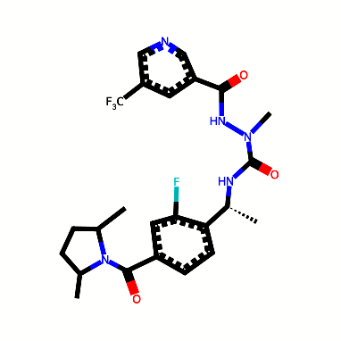 CC1CCC(C)N1C(=O)c1ccc([C@@H](C)NC(=O)N(C)NC(=O)c2cncc(C(F)(F)F)c2)c(F)c1